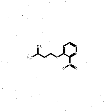 CC(C)CCOc1cccnc1[N+](=O)[O-]